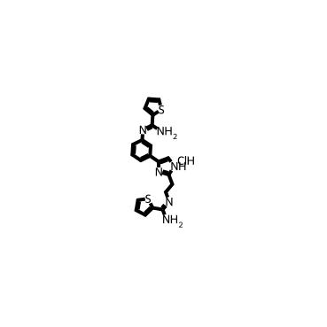 Cl.NC(=Nc1cccc(-c2c[nH]c(CC/N=C(/N)c3cccs3)n2)c1)c1cccs1